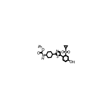 CC(C)OC(=O)NC1CCC(c2ncc(-c3ccc(O)cc3S(=O)(=O)C3CC3)s2)CC1